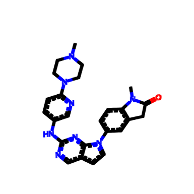 CN1CCN(c2ccc(Nc3ncc4ccn(-c5ccc6c(c5)CC(=O)N6C)c4n3)cn2)CC1